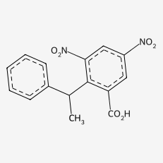 CC(c1ccccc1)c1c(C(=O)O)cc([N+](=O)[O-])cc1[N+](=O)[O-]